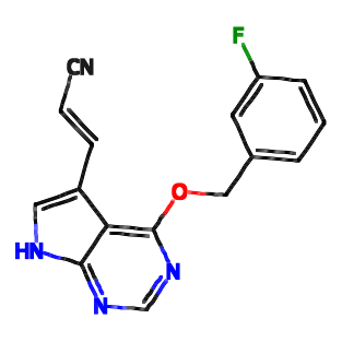 N#CC=Cc1c[nH]c2ncnc(OCc3cccc(F)c3)c12